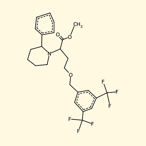 COC(=O)C(CCOCc1cc(C(F)(F)F)cc(C(F)(F)F)c1)N1CCCCC1c1ccccc1